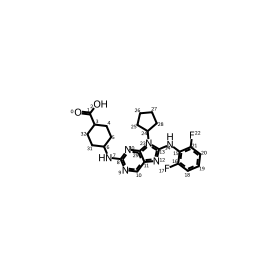 O=C(O)C1CCC(Nc2ncc3nc(Nc4c(F)cccc4F)n(C4CCCC4)c3n2)CC1